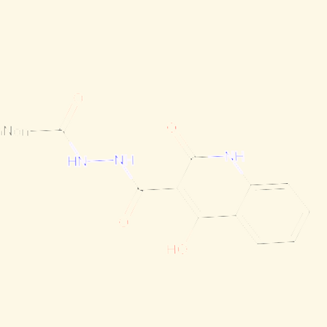 CCCCCCCCCC(=O)NNC(=O)c1c(O)c2ccccc2[nH]c1=O